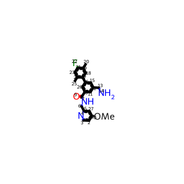 COc1ccnc(CNC(=O)c2cc(CN)cc(-c3cc(C)c(F)cc3C)c2)c1